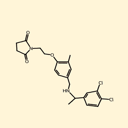 Cc1cc(CNC(C)c2ccc(Cl)c(Cl)c2)ccc1OCCN1C(=O)CCC1=O